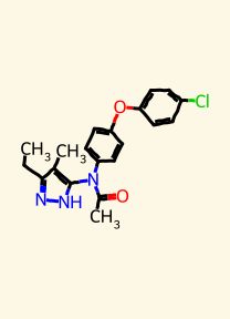 CCc1n[nH]c(N(C(C)=O)c2ccc(Oc3ccc(Cl)cc3)cc2)c1C